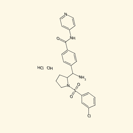 Cl.Cl.NC(c1ccc(C(=O)Nc2ccncc2)cc1)C1CCCN1S(=O)(=O)c1cccc(Cl)c1